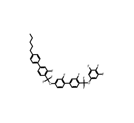 CCCCCc1ccc(-c2ccc(C(F)(F)Oc3ccc(-c4ccc(C(F)(F)Oc5cc(F)c(F)c(F)c5)c(F)c4)c(F)c3)c(F)c2)cc1